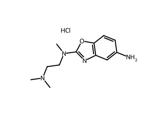 CN(C)CCN(C)c1nc2cc(N)ccc2o1.Cl